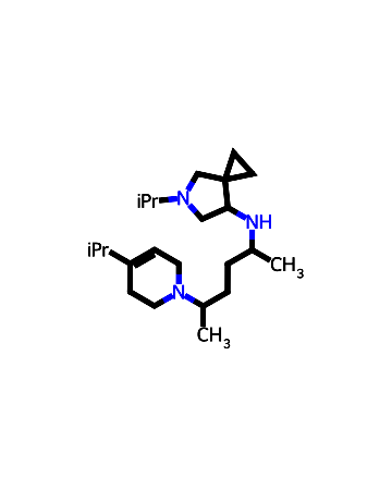 CC(CCC(C)N1CC=C(C(C)C)CC1)NC1CN(C(C)C)CC12CC2